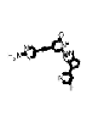 Cn1c(-n2nc3c(n2)C(c2cncc(F)c2)CC3)cc(C#Cc2cnc(N)nc2)cc1=O